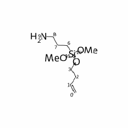 C=CCCO[Si](CCCN)(OC)OC